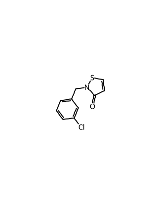 O=c1ccsn1Cc1cccc(Cl)c1